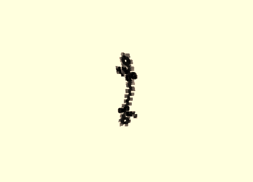 NC(Cc1ccccc1)C(=O)OCCCCCCCCCCOC(=O)C(N)Cc1ccccc1